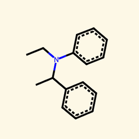 CCN(c1ccccc1)C(C)c1ccccc1